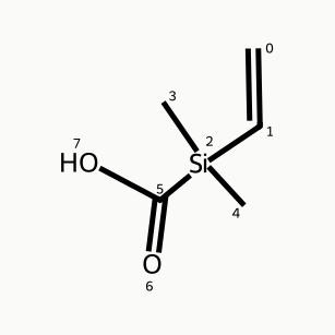 C=C[Si](C)(C)C(=O)O